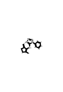 C=C1CCC(C)=C1Sc1nnnn1-c1ccccc1